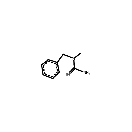 CN(Cc1ccccc1)C(=N)N